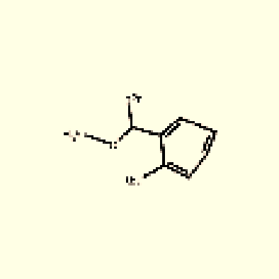 CCCC(O[SiH3])c1ccccc1C(C)(C)C